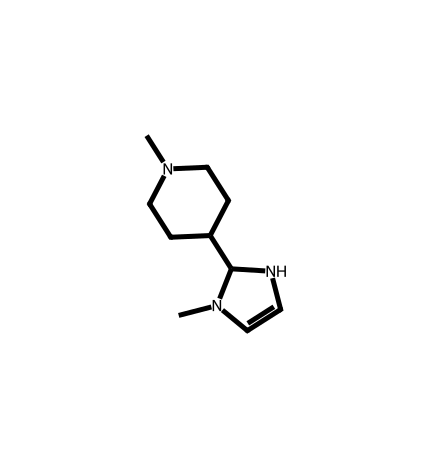 CN1CCC(C2NC=CN2C)CC1